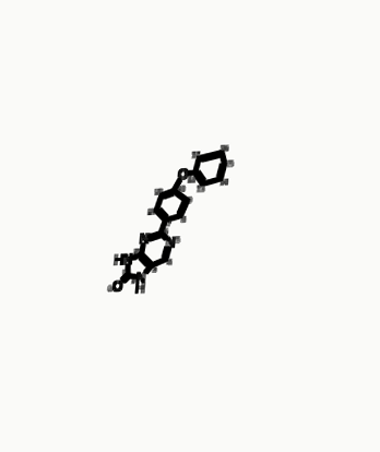 O=c1[nH]c2cnc(-c3ccc(Oc4ccccc4)cc3)nc2[nH]1